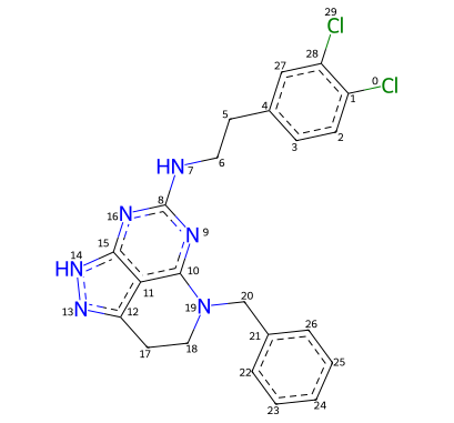 Clc1ccc(CCNc2nc3c4c(n[nH]c4n2)CCN3Cc2ccccc2)cc1Cl